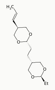 CC=C[C@H]1CO[C@H](CC[C@H]2CO[C@H](CC)OC2)OC1